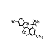 [2H]C([2H])(OC)c1cc(OC)ccc1-c1oc2ccc(O)cc2c1C(=O)OCC